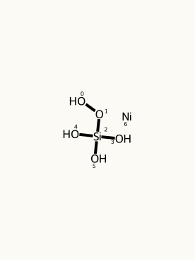 OO[Si](O)(O)O.[Ni]